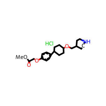 COC(=O)COc1ccc(C2CCC(OCC3CCNCC3)CC2)cc1.Cl